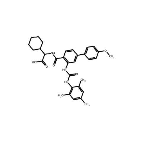 COc1ccc(-c2ccc(C(=O)NC(C(=O)O)C3CCCCC3)c(NC(=O)Nc3c(C)cc(C)cc3C)c2)cc1